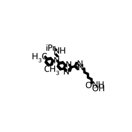 Cc1cc(C)cc(N(CCNC(C)C)c2ccc3ncc(-c4cnn(CCCCCC(=O)NO)c4)nc3c2)c1